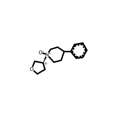 [O-][N+]1([C@H]2CCOC2)CCC(c2ccccc2)CC1